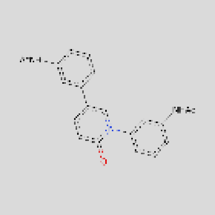 CC(=O)Nc1cccc(-c2ccc(=O)n(-c3cccc(NC(C)=O)c3)c2)c1